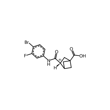 O=C(Nc1ccc(Br)c(F)c1)[C@@H]1CC2(C(=O)O)CC1C2